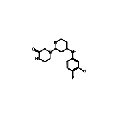 O=C1CN(C2CC(Nc3ccc(F)c(Cl)c3)CC[N]2)CCN1